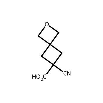 N#CC1(C(=O)O)CC2(COC2)C1